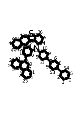 c1ccc(-c2ccc(-c3ccc(N(c4cccc(-c5cc6ccccc6c6ccccc56)c4)c4cccc5sc6cc7ccccc7cc6c45)cc3)cc2)cc1